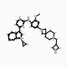 COc1cc(N2CC3(CCN(CC4CNC4)CC3)C2)ccc1Nc1nccc(-c2cn(C3CC3)c3ccccc23)n1